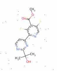 COC(=O)c1c(F)cnc(-c2ccnc(C(C)(C)O)n2)c1F